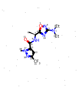 CCN(CC)c1noc([C@H](C)NC(=O)c2cc(C(F)(F)F)nn2C)n1